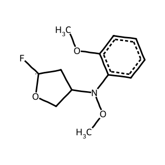 COc1ccccc1N(OC)C1CO[C](F)C1